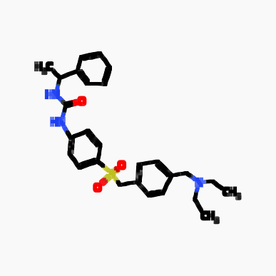 CCN(CC)Cc1ccc(CS(=O)(=O)c2ccc(NC(=O)NC(C)c3ccccc3)cc2)cc1